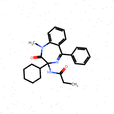 CCC(=O)NC1(C2CCCCC2)N=C(c2ccccc2)c2ccccc2N(C)C1=O